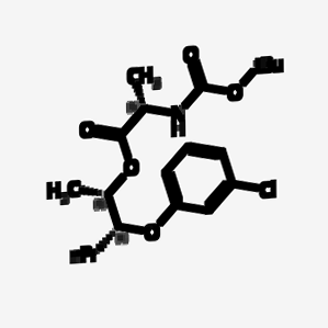 CCC[C@@H](Oc1cccc(Cl)c1)[C@H](C)OC(=O)[C@H](C)NC(=O)OC(C)(C)C